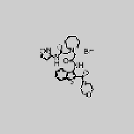 O=C(C[N+]1(CC(=O)Nc2c(C(=O)N3CCOCC3)sc3ccccc23)CCCCCC1)Nc1ccon1.[Br-]